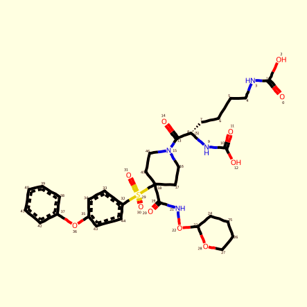 O=C(O)NCCCC[C@H](NC(=O)O)C(=O)N1CCC(C(=O)NOC2CCCCO2)(S(=O)(=O)c2ccc(Oc3ccccc3)cc2)CC1